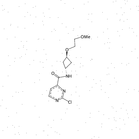 COCCO[C@H]1C[C@H](NC(=O)c2ccnc(Cl)n2)C1